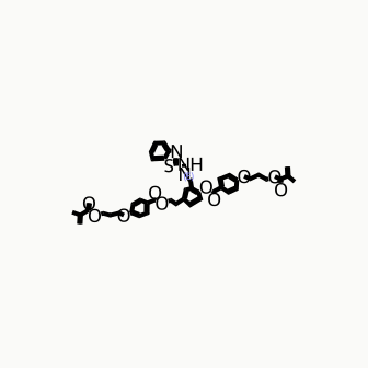 C=C(C)C(=O)OCCCOc1ccc(C(=O)OCCc2ccc(OC(=O)c3ccc(OCCCOC(=O)C(=C)C)cc3)c(/C=N/Nc3nc4ccccc4s3)c2)cc1